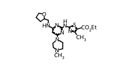 CCOC(=O)c1sc(Nc2nc(NCC3CCCO3)cc(N3CCN(C)CC3)n2)nc1C